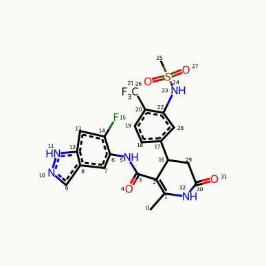 CC1=C(C(=O)Nc2cc3cn[nH]c3cc2F)C(c2ccc(C(F)(F)F)c(NS(C)(=O)=O)c2)CC(=O)N1